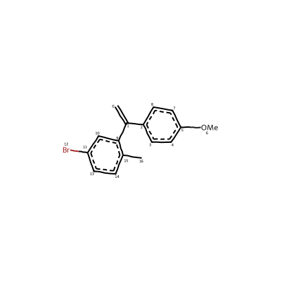 C=C(c1ccc(OC)cc1)c1cc(Br)ccc1C